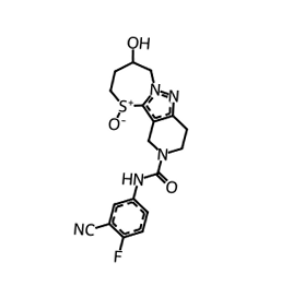 N#Cc1cc(NC(=O)N2CCc3nn4c(c3C2)[S+]([O-])CCC(O)C4)ccc1F